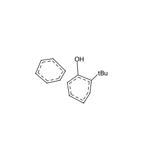 CC(C)(C)c1ccccc1O.c1ccccc1